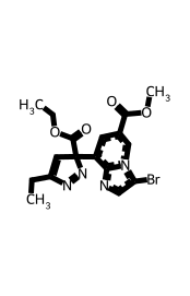 CCOC(=O)C1(c2cc(C(=O)OC)cn3c(Br)cnc23)C=C(CC)N=N1